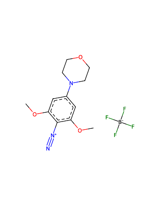 COc1cc(N2CCOCC2)cc(OC)c1[N+]#N.F[B-](F)(F)F